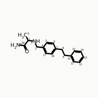 CC(NCc1ccc(CCc2ccccc2)cc1)C(N)=O